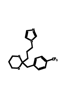 FC(F)(F)c1ccc(CC2(CCCn3ccnc3)SCCCS2)cc1